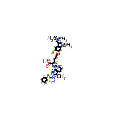 Cc1c(Nc2nc3ccccc3s2)nnc2c1CCCN2c1nc(C(=O)O)c(CCCOc2cc3c(cc2F)c(CN(C)C)cn3C)s1